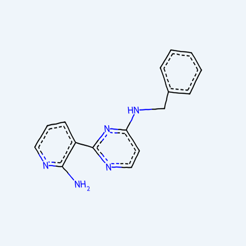 Nc1ncccc1-c1nccc(NCc2ccccc2)n1